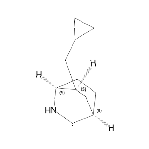 [CH]1N[C@H]2CC[C@@H]1C[C@@H]2CC1CC1